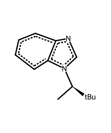 C[C@@H](n1cnc2ccccc21)C(C)(C)C